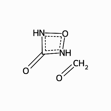 C=O.O=c1[nH]o[nH]1